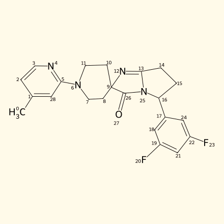 Cc1ccnc(N2CCC3(CC2)N=C2CCC(c4cc(F)cc(F)c4)N2C3=O)c1